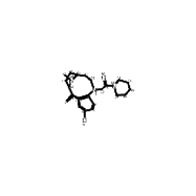 C=C1c2cc(Cl)ccc2N(CC(=O)N2CCCCC2)CCC2CCC1N2C